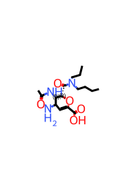 CCCCN(CCC)C(=O)[C@@H]1OC(C(=O)O)=CC(N)[C@H]1NC(C)=O